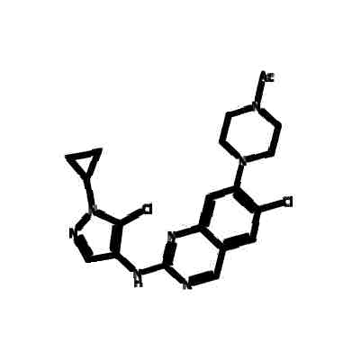 CC(=O)N1CCN(c2cc3nc(Nc4cnn(C5CC5)c4Cl)ncc3cc2Cl)CC1